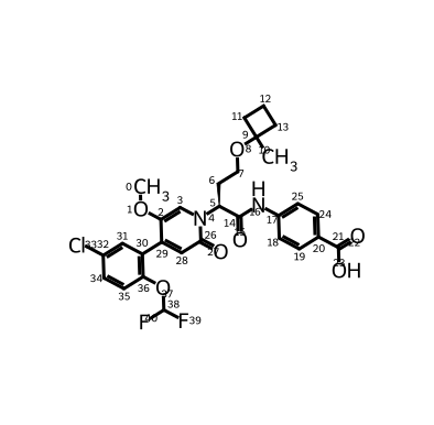 COc1cn([C@@H](CCOC2(C)CCC2)C(=O)Nc2ccc(C(=O)O)cc2)c(=O)cc1-c1cc(Cl)ccc1OC(F)F